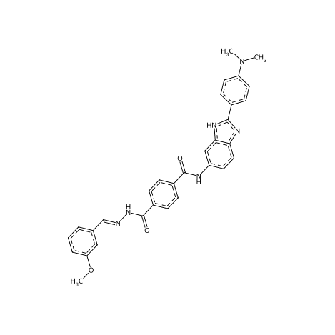 COc1cccc(/C=N/NC(=O)c2ccc(C(=O)Nc3ccc4nc(-c5ccc(N(C)C)cc5)[nH]c4c3)cc2)c1